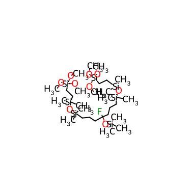 CO[Si](CC[Si](C)(C)O[Si](C)(C)CCCC(F)(CCC[Si](C)(C)O[Si](C)(C)CC[Si](OC)(OC)OC)O[Si](C)(C)C)(OC)OC